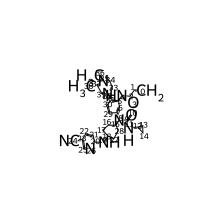 C=CC(=O)Nc1cc(N(C(=O)NC2CC2)C2CCC(Nc3ccc(C#N)cn3)CC2)ccc1N1CCN(C)[C@@H](C)C1